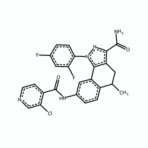 CC1Cc2c(C(N)=O)nn(-c3ccc(F)cc3F)c2-c2cc(NC(=O)c3ccncc3Cl)ccc21